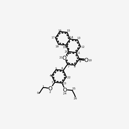 CCOc1ccc(-c2cc(=O)c3ccc4ccccc4c3o2)cc1OCC